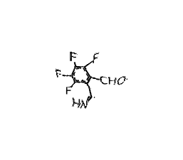 N=[C]c1c(F)c(F)c(F)c(F)c1[C]=O